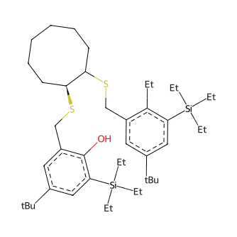 CCc1c(CSC2CCCCCC[C@@H]2SCc2cc(C(C)(C)C)cc([Si](CC)(CC)CC)c2O)cc(C(C)(C)C)cc1[Si](CC)(CC)CC